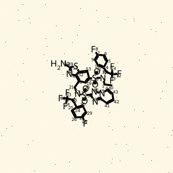 CCN([C@H](c1ccc(F)cc1)C(F)(F)F)S(=O)(=O)c1cc(CN([C@H](c2ccc(F)cc2)C(F)(F)F)S(=O)(=O)c2nc3ccccn3n2)c2nc(N)sc2c1